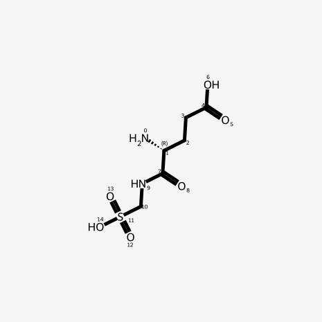 N[C@H](CCC(=O)O)C(=O)NCS(=O)(=O)O